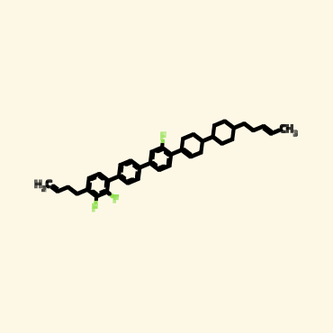 C=CCCc1ccc(-c2ccc(-c3ccc(C4=CCC(C5CCC(CC/C=C/C)CC5)CC4)c(F)c3)cc2)c(F)c1F